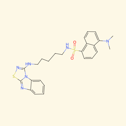 CN(C)c1cccc2c(S(=O)(=O)NCCCCCNc3nsc4nc5ccccc5n34)cccc12